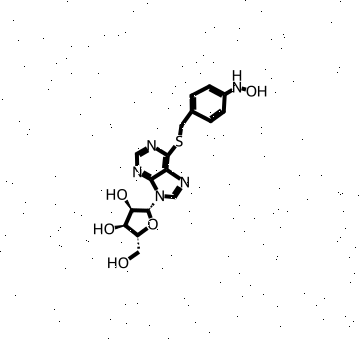 OC[C@H]1O[C@@H](n2cnc3c(SCc4ccc(NO)cc4)ncnc32)[C@H](O)[C@@H]1O